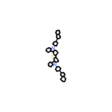 c1ccc2cc(-c3ccc(-n4c5ccccc5c5c6sc7c(ccc8c7c7ccccc7n8-c7ccc(-c8ccc9ccccc9c8)cc7)c6ccc54)cc3)ccc2c1